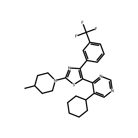 CC1CCN(c2nc(-c3cccc(C(F)(F)F)c3)c(-c3n[c]ncc3C3CCCCC3)s2)CC1